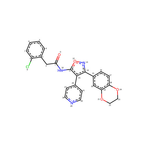 O=C(Cc1ccccc1Cl)Nc1onc(-c2ccc3c(c2)OCCO3)c1-c1ccncc1